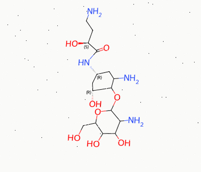 NCC[C@H](O)C(=O)N[C@@H]1CC(N)C(OC2OC(CO)C(O)C(O)C2N)[C@H](O)C1